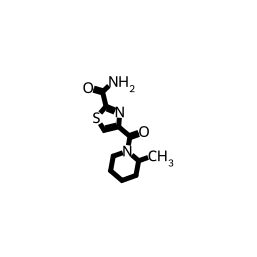 CC1CCCCN1C(=O)c1csc(C(N)=O)n1